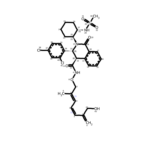 C=C(/C=C\C=C(/C)CONC(=O)[C@@H]1c2ccccc2C(=O)N([C@H]2CCCC[C@@H]2NS(C)(=O)=O)[C@H]1c1ccc(Cl)cc1Cl)CO